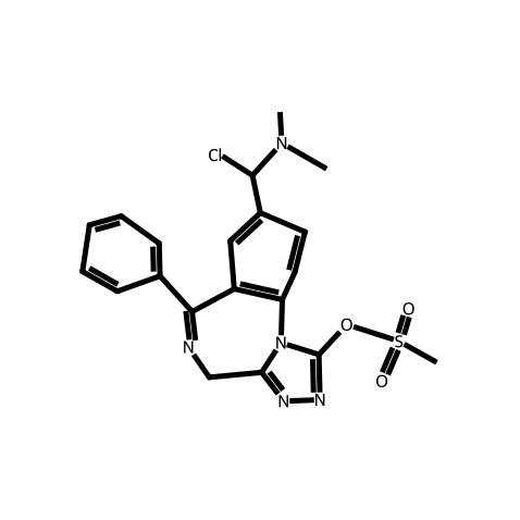 CN(C)C(Cl)c1ccc2c(c1)C(c1ccccc1)=NCc1nnc(OS(C)(=O)=O)n1-2